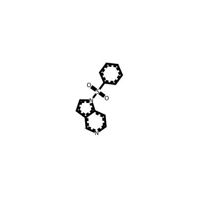 O=S(=O)(c1ccccc1)n1ccc2[c]nccc21